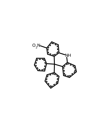 O=[N+]([O-])c1ccc2c(c1)C(c1ccccc1)(c1ccccc1)c1ccccc1N2